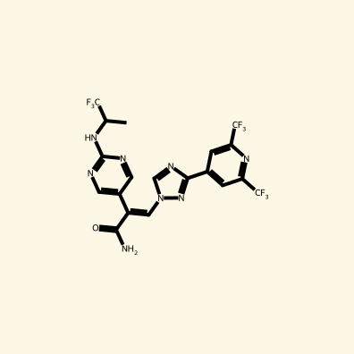 CC(Nc1ncc(/C(=C\n2cnc(-c3cc(C(F)(F)F)nc(C(F)(F)F)c3)n2)C(N)=O)cn1)C(F)(F)F